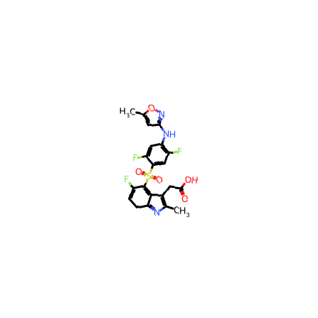 CC1=C(CC(=O)O)C2=C(S(=O)(=O)c3cc(F)c(Nc4cc(C)on4)cc3F)C(F)=CCC2=N1